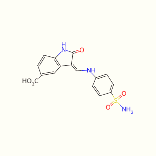 NS(=O)(=O)c1ccc(NC=C2C(=O)Nc3ccc(C(=O)O)cc32)cc1